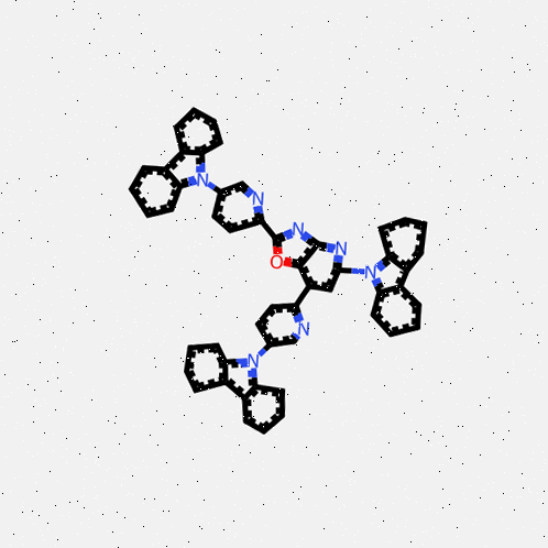 c1ccc2c(c1)c1ccccc1n2-c1ccc(-c2nc3nc(-n4c5ccccc5c5ccccc54)cc(-c4ccc(-n5c6ccccc6c6ccccc65)cn4)c3o2)nc1